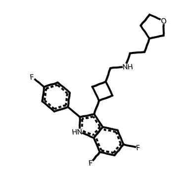 Fc1ccc(-c2[nH]c3c(F)cc(F)cc3c2C2CC(CNCCC3CCOC3)C2)cc1